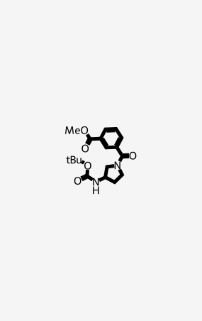 COC(=O)c1cccc(C(=O)N2CCC(NC(=O)OC(C)(C)C)C2)c1